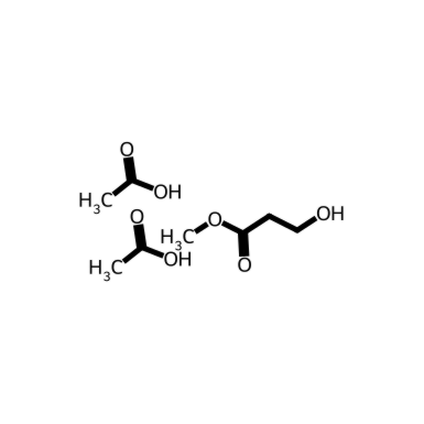 CC(=O)O.CC(=O)O.COC(=O)CCO